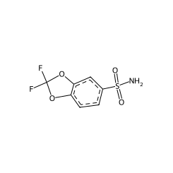 NS(=O)(=O)c1ccc2c(c1)OC(F)(F)O2